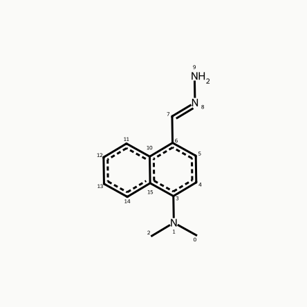 CN(C)c1ccc(C=NN)c2ccccc12